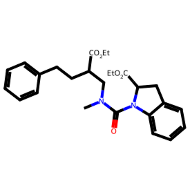 CCOC(=O)C(CCc1ccccc1)CN(C)C(=O)N1c2ccccc2CC1C(=O)OCC